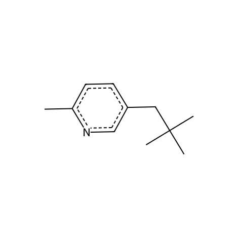 Cc1ccc(CC(C)(C)C)cn1